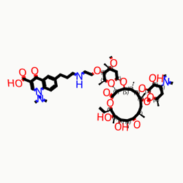 CC[C@H]1OC(=O)[C@H](C)[C@@H](O[C@H]2C[C@@](C)(OC)[C@@H](OCCNCCCc3ccc4c(c3)c(=O)c(C(=O)O)cn4N(C)C)[C@H](C)O2)[C@H](C)[C@@H](O[C@@H]2O[C@H](C)C[C@H](N(C)C)[C@H]2O)[C@](C)(OC)C[C@@H](C)C(=O)[C@@H](C)[C@@H](O)[C@]1(C)O